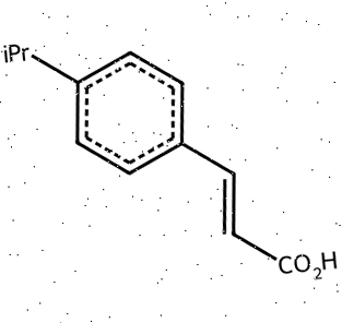 CC(C)c1ccc(C=CC(=O)O)cc1